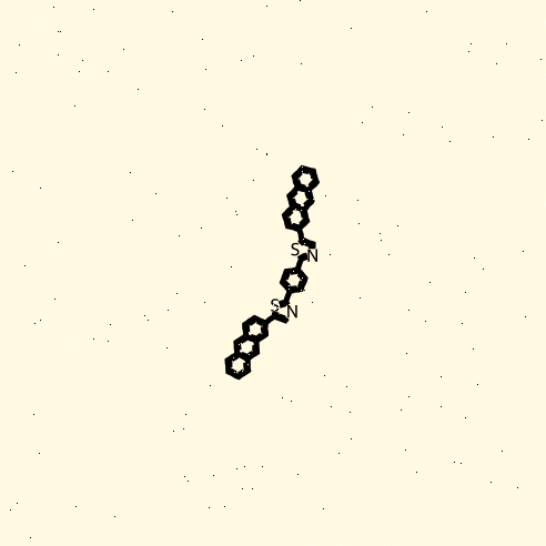 c1ccc2cc3cc(-c4cnc(-c5ccc(-c6ncc(-c7ccc8cc9ccccc9cc8c7)s6)cc5)s4)ccc3cc2c1